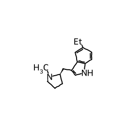 CCc1ccc2[nH]cc(C[C@H]3CCCN3C)c2c1